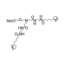 COCCOCCN(CCC(=O)NCCNC(=O)CCCCC1CCSS1)CCC(=O)NCCNC(=O)CCCCC1CCSS1